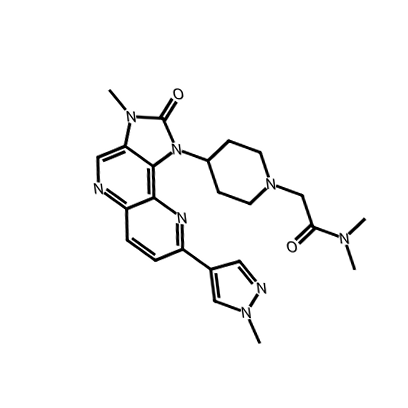 CN(C)C(=O)CN1CCC(n2c(=O)n(C)c3cnc4ccc(-c5cnn(C)c5)nc4c32)CC1